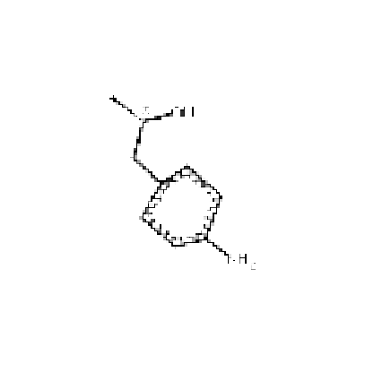 C[C@@H](O)Cc1ccc(N)cc1